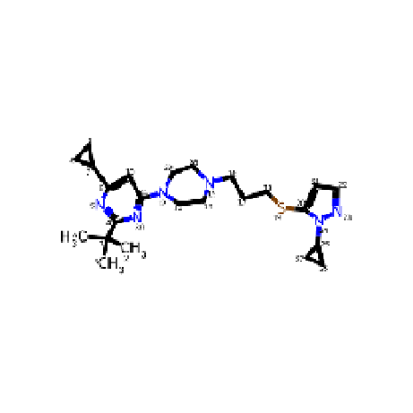 CC(C)(C)c1nc(C2CC2)cc(N2CCN(CCCSc3ccnn3C3CC3)CC2)n1